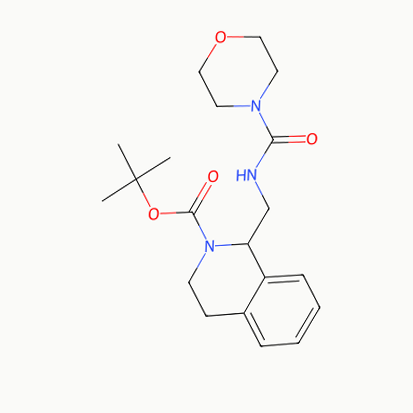 CC(C)(C)OC(=O)N1CCc2ccccc2C1CNC(=O)N1CCOCC1